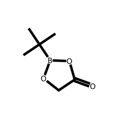 CC(C)(C)B1OCC(=O)O1